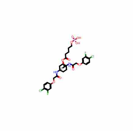 O=C(COc1ccc(Cl)c(F)c1)NC12CCC(NC(=O)COc3ccc(Cl)c(F)c3)(CC1)C(OC(=O)CCCCOP(=O)(O)O)C2